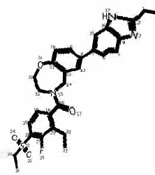 CCc1nc2ccc(-c3ccc4c(c3)CN(C(=O)c3ccc(S(=O)(=O)CC)c(F)c3CC)CCO4)cc2[nH]1